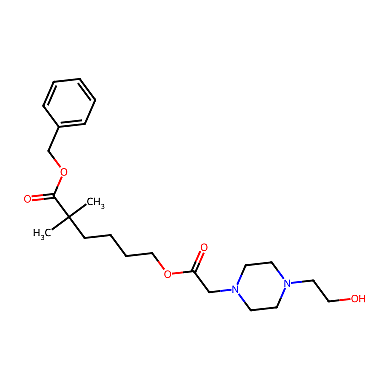 CC(C)(CCCCOC(=O)CN1CCN(CCO)CC1)C(=O)OCc1ccccc1